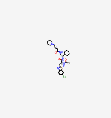 CCC(=O)N[C@@H](Cc1nc2ccc(Cl)cc2s1)C(=O)N[C@H](CNC(=O)/C=C/CN1CCCCC1)C1CCCCC1